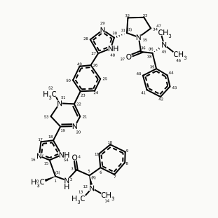 C[C@H](NC(=O)[C@@H](c1ccccc1)N(C)C)c1ncc(C2=NC=C(c3ccc(-c4cnc([C@@H]5CCCN5C(=O)[C@@H](c5ccccc5)N(C)C)[nH]4)cc3)N(C)C2)[nH]1